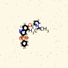 CC(C)N1CCC[C@H]1COc1ccc2ncc(S(=O)(=O)c3ccccc3)cc2c1